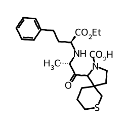 CCOC(=O)[C@H](CCc1ccccc1)N[C@@H](C)C(=O)C1N(C(=O)O)CCC12CCCSC2